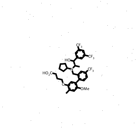 COc1cc(C)c(OCCCC(=O)O)cc1-c1ccc(C(F)(F)F)cc1CN(C1CCCC1)C(C)C(O)c1cc(C(F)(F)F)cc(C(F)(F)F)c1